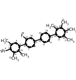 CCCc1c(C)cc(-c2ccc(-c3ccc(-c4cc(C)c(C)c(C)c4C)cc3)cc2F)c(C)c1C